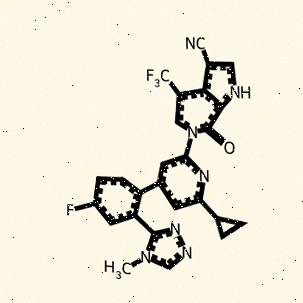 Cn1cnnc1-c1cc(F)ccc1-c1cc(C2CC2)nc(-n2cc(C(F)(F)F)c3c(C#N)c[nH]c3c2=O)c1